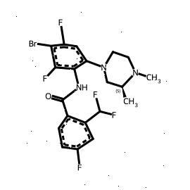 C[C@H]1CN(c2cc(F)c(Br)c(F)c2NC(=O)c2ccc(F)cc2C(F)F)CCN1C